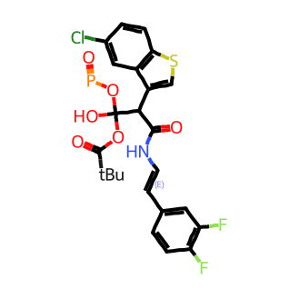 CC(C)(C)C(=O)OC(O)(OP=O)C(C(=O)N/C=C/c1ccc(F)c(F)c1)c1csc2ccc(Cl)cc12